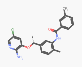 Cc1ccc([C@@H](C)Oc2cc(Cl)cnc2N)cc1NC(=O)c1cccc(C(F)(F)F)c1